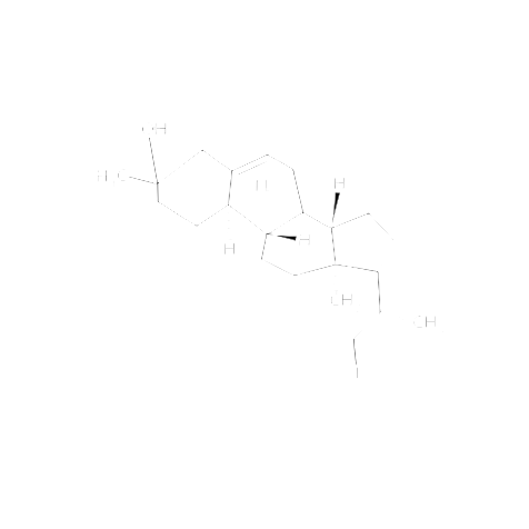 C[C@H](CI)[C@H]1CC[C@H]2[C@@H]3CC=C4CC(C)(O)CC[C@@H]4[C@H]3CC[C@]12C